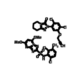 C#CCOc1cc(-n2nc3n(c2=O)CCCC3)c(Cl)cc1Cl.COc1cc(OC)n2nc(S(=O)(=O)Nc3c(Cl)ccc(C)c3Cl)nc2n1